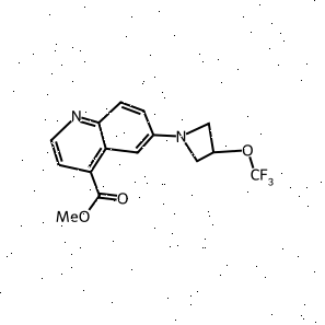 COC(=O)c1ccnc2ccc(N3CC(OC(F)(F)F)C3)cc12